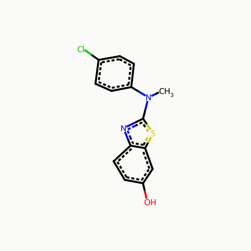 CN(c1ccc(Cl)cc1)c1nc2ccc(O)cc2s1